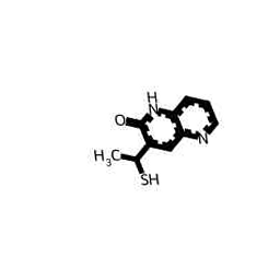 CC(S)c1cc2ncccc2[nH]c1=O